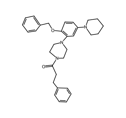 O=C(CCc1ccccc1)N1CCN(c2cc(N3CCCCC3)ccc2OCc2ccccc2)CC1